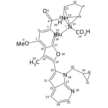 COc1cc(C(=O)N2CC3CCC2[C@@H]3N(C(=O)O)C(C)(C)C)cc2oc(-c3cc4cccnc4n3CC3CC3)c(C)c12